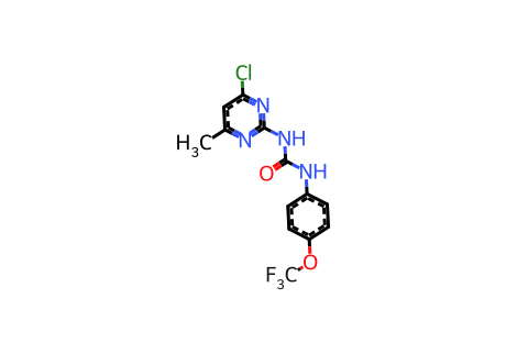 Cc1cc(Cl)nc(NC(=O)Nc2ccc(OC(F)(F)F)cc2)n1